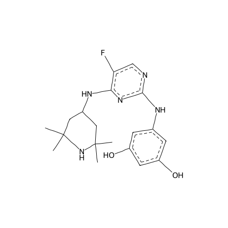 CC1(C)CC(Nc2nc(Nc3cc(O)cc(O)c3)ncc2F)CC(C)(C)N1